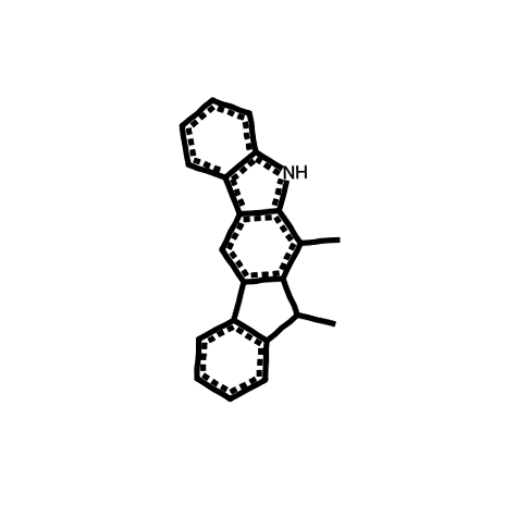 Cc1c2c(cc3c1[nH]c1ccccc13)-c1ccccc1C2C